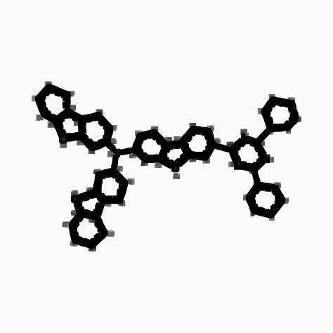 c1ccc(-c2nc(-c3ccccc3)nc(-c3ccc4c(c3)oc3cc(N(c5ccc6c(c5)oc5ccccc56)c5ccc6c(c5)oc5ccccc56)ccc34)n2)cc1